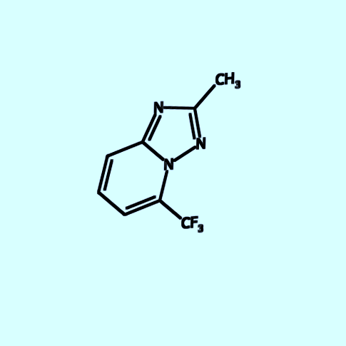 Cc1nc2cccc(C(F)(F)F)n2n1